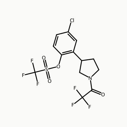 O=C(N1CCC(c2cc(Cl)ccc2OS(=O)(=O)C(F)(F)F)C1)C(F)(F)F